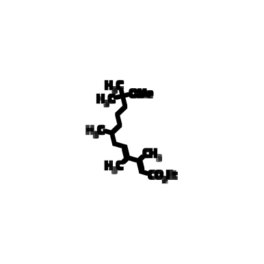 CCOC(=O)/C=C(C)/C(C)=C/CC(C)CCCC(C)(C)OC